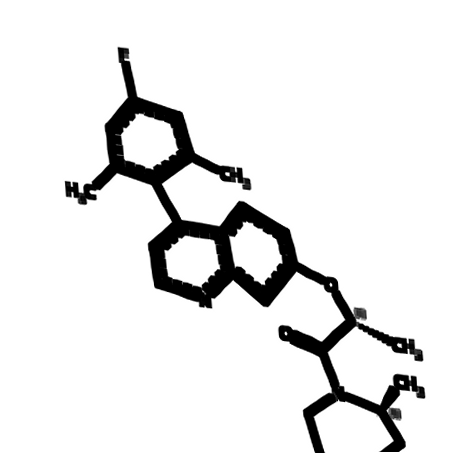 Cc1cc(F)cc(C)c1-c1ccnc2cc(O[C@H](C)C(=O)N3CCCC[C@@H]3C)ccc12